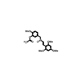 COc1cc(OC)c(C=C[S+]([O-])Cc2ccc(OC)c(OC(N)=O)c2)c(OC)c1